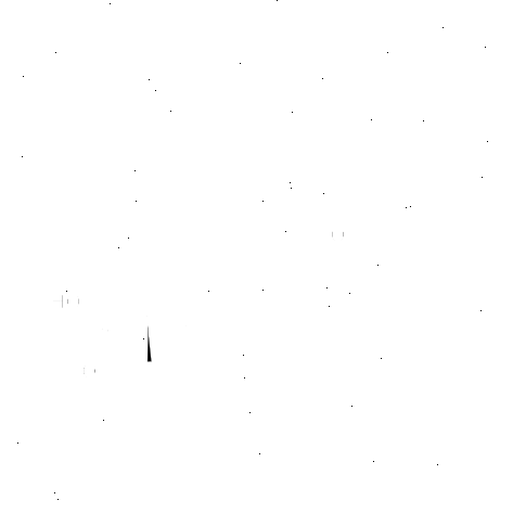 C[C@@]1(C(=O)O)CCC[C@@]2(C)c3cc(OCc4ccccc4)ccc3CCC12